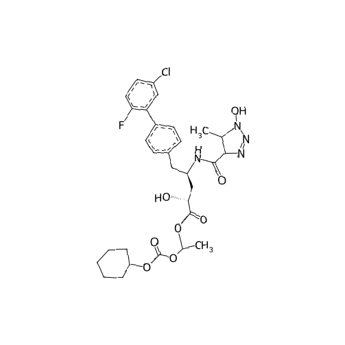 CC(OC(=O)OC1CCCCC1)OC(=O)[C@H](O)C[C@@H](Cc1ccc(-c2cc(Cl)ccc2F)cc1)NC(=O)C1N=NN(O)C1C